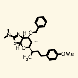 COc1ccc(CCC([C@H]2O[C@@H]3SC(N(C)C)=N[C@@H]3[C@@H](OCc3ccccc3)[C@@H]2C)C(F)(F)F)cc1